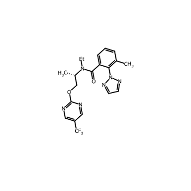 CCN(C(=O)c1cccc(C)c1-n1nccn1)[C@@H](C)COc1ncc(C(F)(F)F)cn1